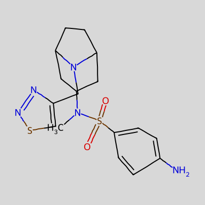 CN(C1CC2CCC(C1)N2Cc1csnn1)S(=O)(=O)c1ccc(N)cc1